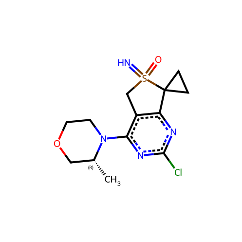 C[C@@H]1COCCN1c1nc(Cl)nc2c1CS(=N)(=O)C21CC1